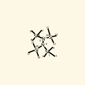 C[Si](C)(C)N([N+]([Si](C)(C)C)[Si](C)(C)C)[Si](C)(C)C